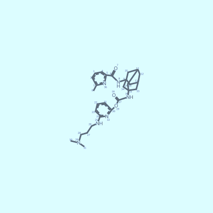 Cc1cccc(C(=O)NC23CC4CC(CC(NC(=O)Oc5cccc(NCCCN(C)C)n5)(C4)C2)C3)n1